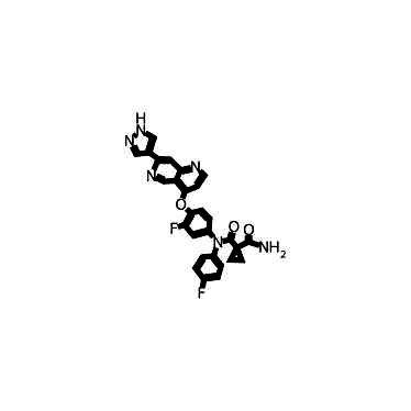 NC(=O)C1(C(=O)N(c2ccc(F)cc2)c2ccc(Oc3ccnc4cc(-c5cn[nH]c5)ncc34)c(F)c2)CC1